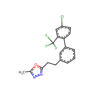 Cc1nnc(CCc2cccc(-c3ccc(Cl)cc3C(F)(F)F)c2)o1